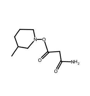 CC1CCCN(OC(=O)CC(N)=O)C1